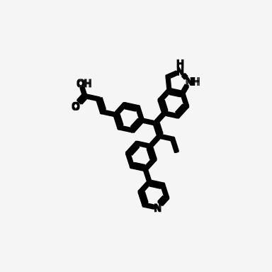 CC/C(=C(/c1ccc(/C=C/C(=O)O)cc1)c1ccc2c(c1)CNN2)c1cccc(-c2ccncc2)c1